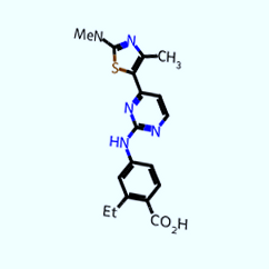 CCc1cc(Nc2nccc(-c3sc(NC)nc3C)n2)ccc1C(=O)O